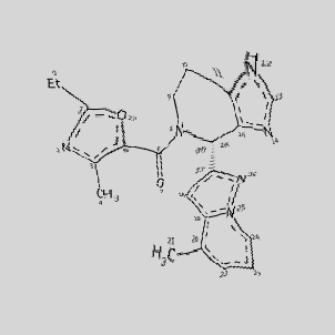 CCc1nc(C)c(C(=O)N2CCc3[nH]cnc3[C@@H]2c2cc3c(C)cccn3n2)o1